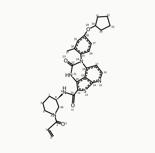 C=CC(=O)N1CCC[C@@H](NC(=O)c2sc3nccc4c3c2NC(=O)N4c2ccc(OC3CCCC3)cc2C)C1